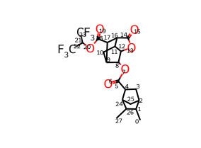 CC1C2CC(C(=O)OC3C4CC5C3OC(=O)C5C4C(=O)OC(C(F)(F)F)C(F)(F)F)C(C2)C1C